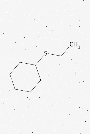 CCSC1CC[CH]CC1